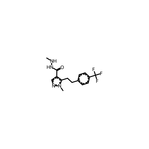 CNNC(=O)c1cnn(C)c1CCc1ccc(C(F)(F)F)cc1